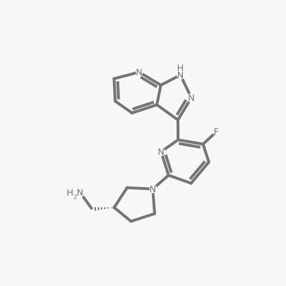 NC[C@H]1CCN(c2ccc(F)c(-c3n[nH]c4ncccc34)n2)C1